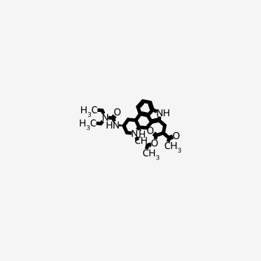 CCOC(=O)C(Cc1[nH]c2cccc3c2c1C[C@@H]1C3C[C@H](NC(=O)N(CC)CC)CN1C)C(C)=O